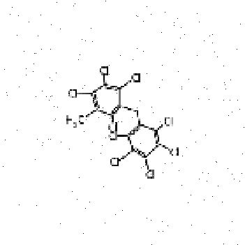 Cc1c(Cl)c(Cl)c(Cl)c(Cc2c(Cl)c(Cl)c(Cl)c(Cl)c2Cl)c1Cl